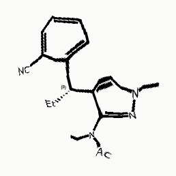 CC[C@H](c1ccccc1C#N)c1cn(C)nc1N(C)C(C)=O